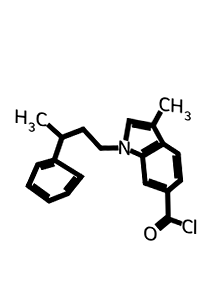 Cc1cn(CCC(C)c2ccccc2)c2cc(C(=O)Cl)ccc12